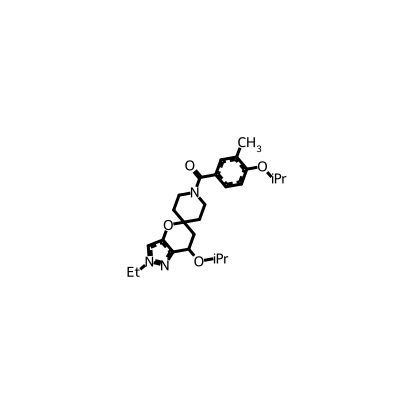 CCn1cc2c(n1)C(OC(C)C)CC1(CCN(C(=O)c3ccc(OC(C)C)c(C)c3)CC1)O2